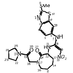 CSc1nc2ccc(NC(=C[N+](=O)[O-])N[C@H]3CCCCN(CC(=O)N4CCCC4)C3=O)cc2s1